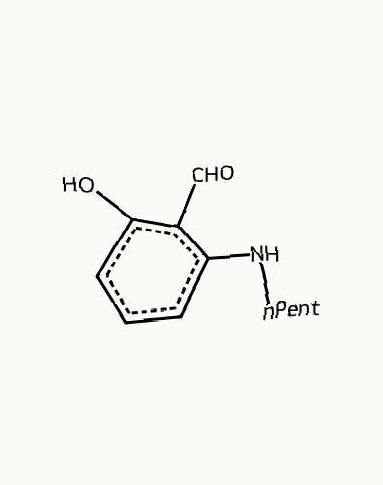 CCCCCNc1cccc(O)c1C=O